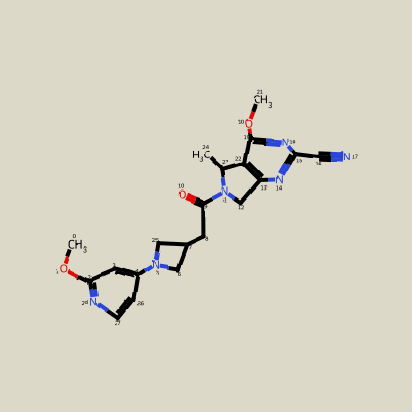 COc1cc(N2CC(CC(=O)N3Cc4nc(C#N)nc(OC)c4C3C)C2)ccn1